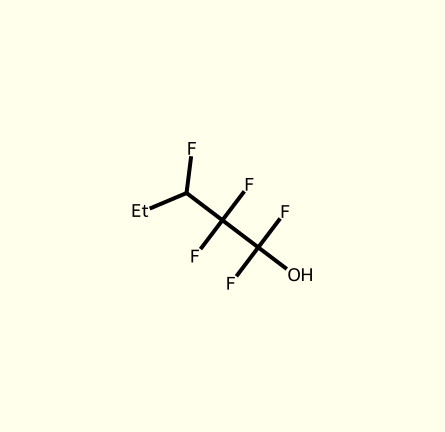 CCC(F)C(F)(F)C(O)(F)F